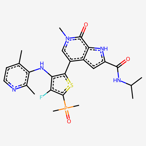 Cc1ccnc(C)c1Nc1c(-c2cn(C)c(=O)c3[nH]c(C(=O)NC(C)C)cc23)sc(P(C)(C)=O)c1F